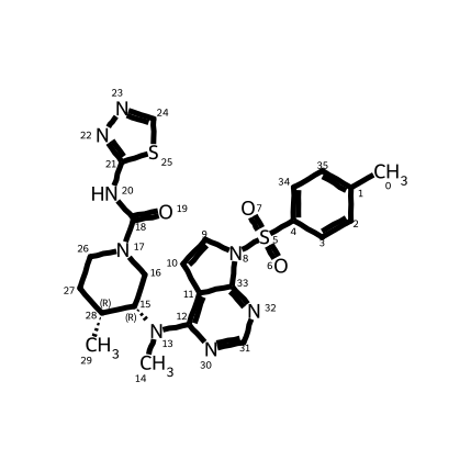 Cc1ccc(S(=O)(=O)n2ccc3c(N(C)[C@H]4CN(C(=O)Nc5nncs5)CC[C@H]4C)ncnc32)cc1